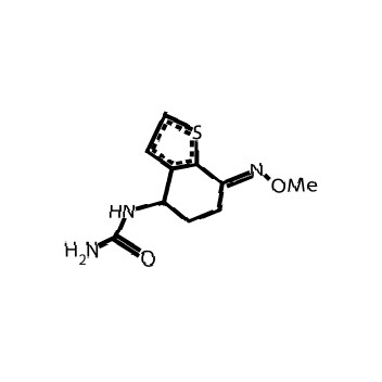 CON=C1CCC(NC(N)=O)c2ccsc21